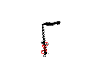 C=C.C=C.C=C.C=C.C=C.C=C.C=C.C=C.C=C.C=C.C=C.C=C.C=C.C=C.C=C.C=C.C=C.C=C.C=C.C=C.C=C(C)C(=O)OCCOC(=O)C(=C)C